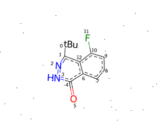 CC(C)(C)c1n[nH]c(=O)c2cccc(F)c12